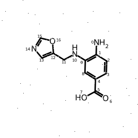 Nc1ccc(C(=O)O)cc1NCc1cnco1